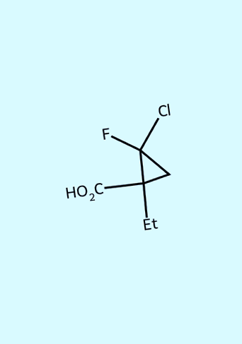 CCC1(C(=O)O)CC1(F)Cl